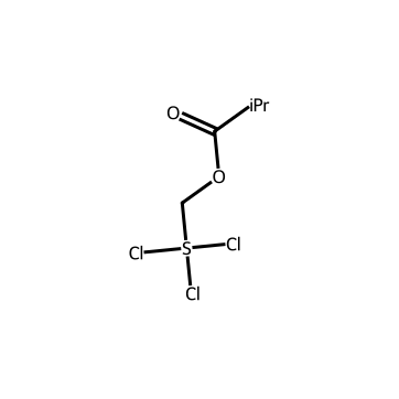 CC(C)C(=O)OCS(Cl)(Cl)Cl